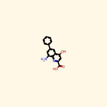 Nc1cc(-c2ccccc2)cc2c(O)cc(C(=O)O)nc12